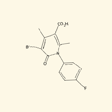 Cc1c(C(=O)O)c(C)n(-c2ccc(F)cc2)c(=O)c1Br